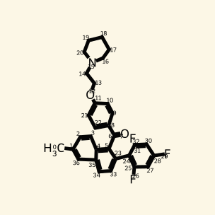 Cc1ccc2c(C(=O)c3ccc(OCCN4CCCCC4)cc3)c(-c3c(F)cc(F)cc3F)ccc2c1